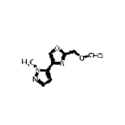 Cn1nccc1-c1coc(COC=O)n1